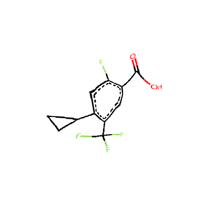 O=C(O)c1cc(C(F)(F)F)c(C2CC2)cc1F